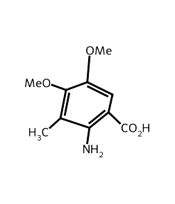 COc1cc(C(=O)O)c(N)c(C)c1OC